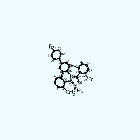 Cc1cccc2c3cc(-c4ccc(F)cc4)ccc3n3c(-c4c(C(C)C)cccc4C(C)C)c[n+](C)c3c12